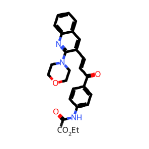 CCOC(=O)C(=O)Nc1ccc(C(=O)C=Cc2cc3ccccc3nc2N2CCOCC2)cc1